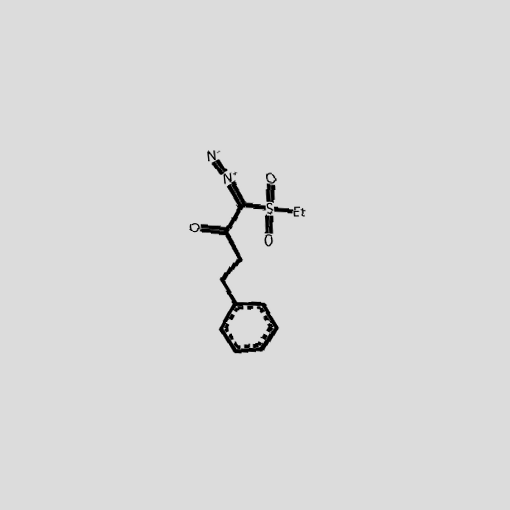 CCS(=O)(=O)C(=[N+]=[N-])C(=O)CCc1ccccc1